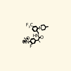 CC1CCN(c2cc(C(F)(F)F)ccc2CNC(=O)[C@@H](C)c2ccc(NS(C)(=O)=O)c(F)c2)CC1